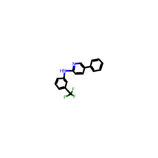 FC(F)(F)c1cccc(Nc2ccc(-c3ccccc3)cn2)c1